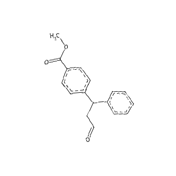 COC(=O)c1ccc(C(CC=O)c2ccccc2)cc1